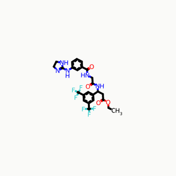 CCOC(=O)CC(NC(=O)CNC(=O)c1cccc(NC2=NCCN2)c1)c1cc(C(F)(F)F)cc(C(F)(F)F)c1